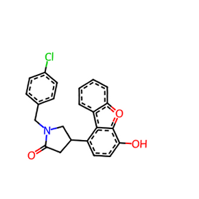 O=C1CC(c2ccc(O)c3oc4ccccc4c23)CN1Cc1ccc(Cl)cc1